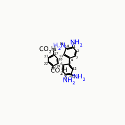 Nc1ccc(-c2ccc(N)c(N)c2)cc1N.O=C(O)c1ccc(C(=O)O)cc1